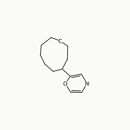 C1=COC(C2CCCCCCCC2)=C[N]1